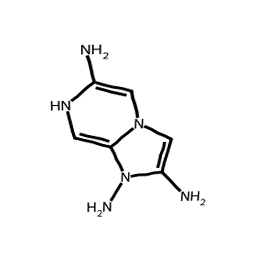 NC1=CN2C=C(N)N(N)C2=CN1